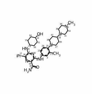 Cc1cc(Nc2nc(N[C@H]3CC[C@H](O)CC3)c(C(C)C)nc2C(N)=O)ccc1N1CCC(N2CCN(C)CC2)CC1